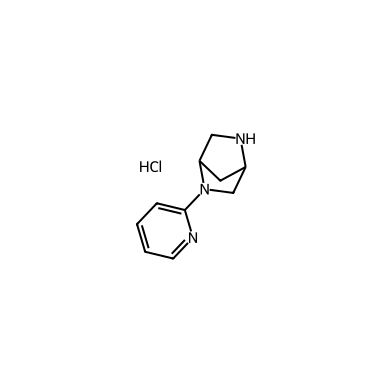 Cl.c1ccc(N2CC3CC2CN3)nc1